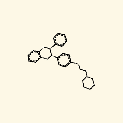 c1ccc([C@@H]2Sc3ccccc3O[C@@H]2c2ccc(OCCN3CCCCC3)cc2)cc1